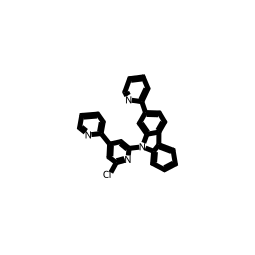 Clc1cc(-c2ccccn2)cc(-n2c3ccccc3c3ccc(-c4ccccn4)cc32)n1